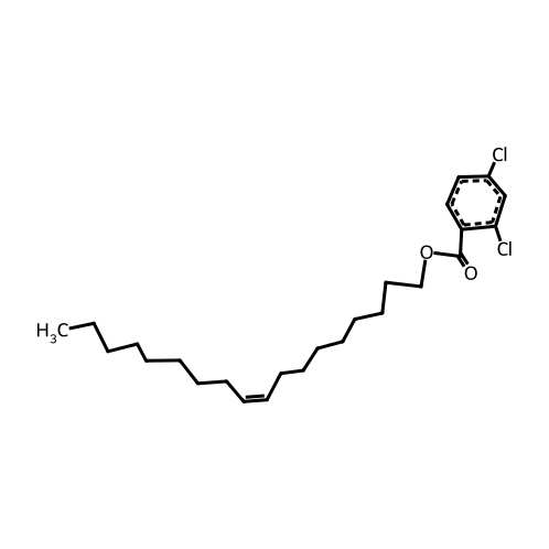 CCCCCCCC/C=C\CCCCCCCCOC(=O)c1ccc(Cl)cc1Cl